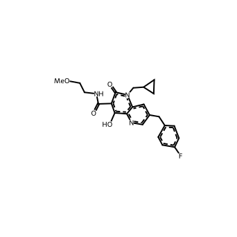 COCCNC(=O)c1c(O)c2ncc(Cc3ccc(F)cc3)cc2n(CC2CC2)c1=O